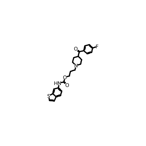 O=C(Nc1ccc2ccsc2c1)OCCCN1CCC(C(=O)c2ccc(F)cc2)CC1